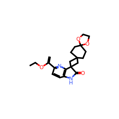 C=C(OCC)c1ccc2c(n1)C1(CC3(CCC4(CC3)OCCO4)C1)C(=O)N2